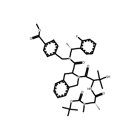 COC(=O)c1ccc(CN(C(=O)C2Cc3ccccc3CN2C(=O)C(NC(=O)[C@H](C)N(C)C(=O)OC(C)(C)C)C(C)(C)S)[C@H](C)c2ccccc2F)cc1